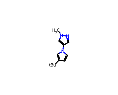 Cn1cc(-n2ccc(C(C)(C)C)c2)cn1